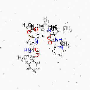 CC[C@H](C)[C@H](NC(=O)[C@H]1CCCCN1C)C(=O)N(C)[C@H](C[C@@H](OC(C)=O)c1nc(C(=O)NC(C)C(=O)c2ccccc2)cs1)C(C)C